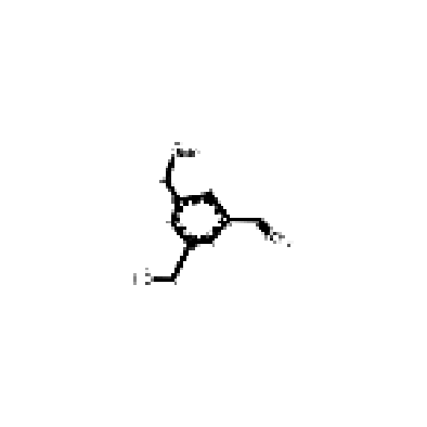 C=Cc1cc(CO)cc(COC)c1